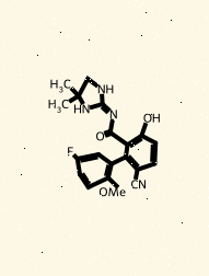 COc1ccc(F)cc1-c1c(C#N)ccc(O)c1C(=O)/N=C1/NCC(C)(C)N1